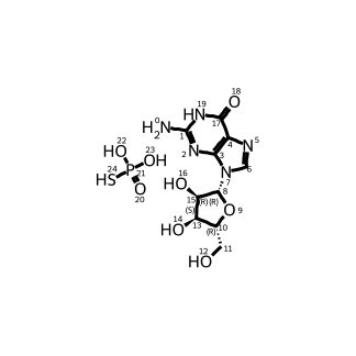 Nc1nc2c(ncn2[C@@H]2O[C@H](CO)[C@@H](O)[C@H]2O)c(=O)[nH]1.O=P(O)(O)S